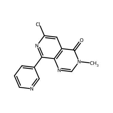 Cn1cnc2c(-c3cccnc3)nc(Cl)cc2c1=O